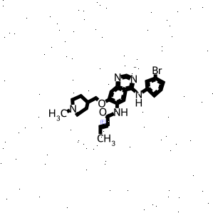 C/C=C/C(=O)Nc1cc2c(Nc3cccc(Br)c3)ncnc2cc1OCC1CCN(C)CC1